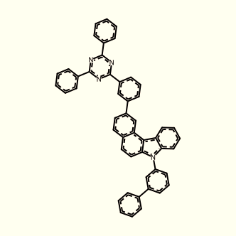 c1ccc(-c2cccc(-n3c4ccccc4c4c5cc(-c6cccc(-c7nc(-c8ccccc8)nc(-c8ccccc8)n7)c6)ccc5ccc43)c2)cc1